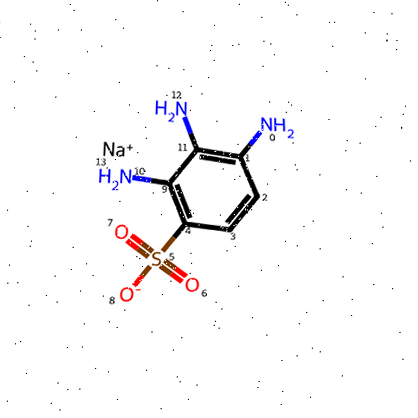 Nc1ccc(S(=O)(=O)[O-])c(N)c1N.[Na+]